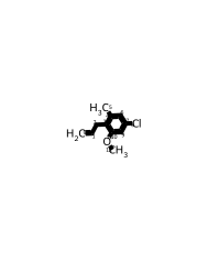 C=CCc1c(C)cc(Cl)cc1OC